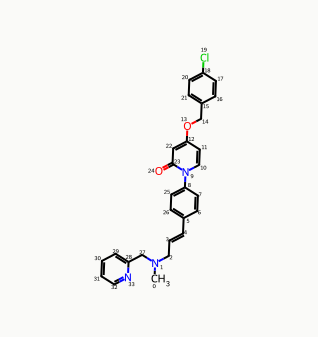 CN(CC=Cc1ccc(-n2ccc(OCc3ccc(Cl)cc3)cc2=O)cc1)Cc1ccccn1